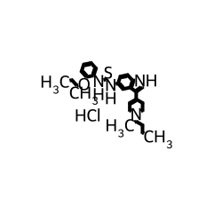 CCCC(C)N1CC=C(c2c[nH]c3ccc(NC(=S)Nc4ccccc4OC(C)CC)cc23)CC1.Cl